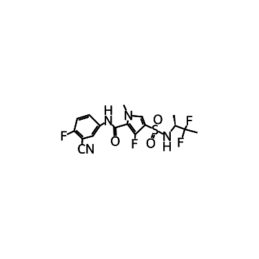 C[C@H](NS(=O)(=O)c1cn(C)c(C(=O)Nc2ccc(F)c(C#N)c2)c1F)C(C)(F)F